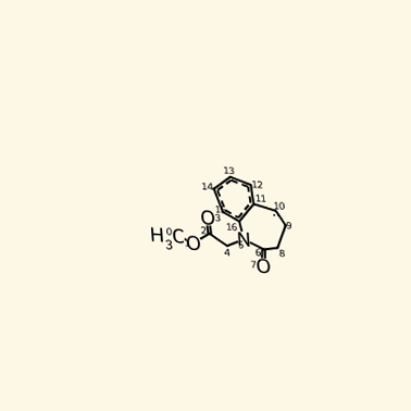 COC(=O)CN1C(=O)CC[C]c2ccccc21